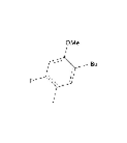 CCC(C)c1cc(C)c(F)cc1OC